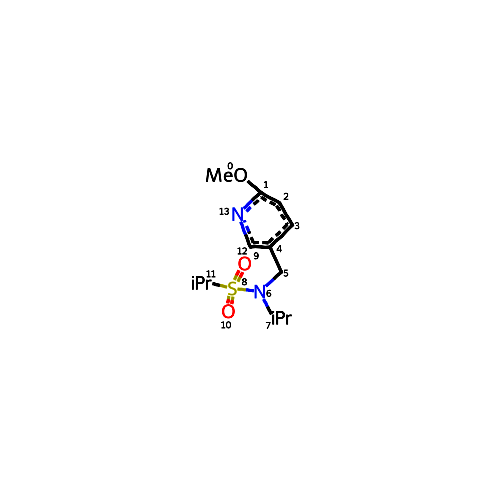 COc1ccc(CN(C(C)C)S(=O)(=O)C(C)C)cn1